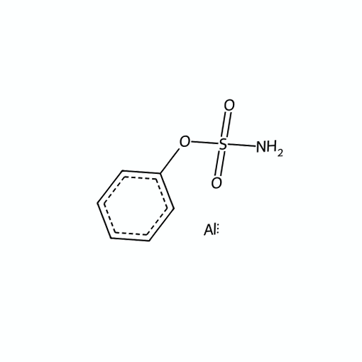 NS(=O)(=O)Oc1ccccc1.[Al]